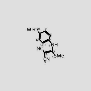 COc1ccc(NC(SC)=C(C#N)C#N)cc1